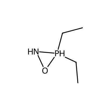 CC[PH]1(CC)NO1